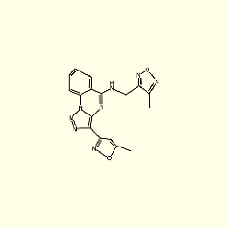 Cc1cc(-c2nnn3c2nc(NCc2nonc2C)c2ccccc23)no1